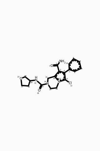 NC(=O)c1c(-c2ccccc2)c(Cl)n2c1CN(C(=O)NC1CCOC1)CC2